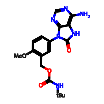 COc1ccc(-n2c(=O)[nH]c3c(N)ncnc32)cc1COC(=O)NC(C)(C)C